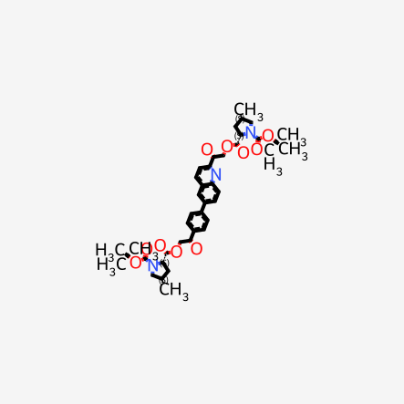 C[C@H]1C[C@@H](C(=O)OCC(=O)c2ccc(-c3ccc4nc(C(=O)COC(=O)[C@@H]5C[C@H](C)CN5C(=O)OC(C)(C)C)ccc4c3)cc2)N(C(=O)OC(C)(C)C)C1